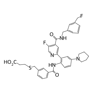 O=C(O)CCSCc1cccc(C(=O)Nc2ccc(N3CCCCC3)cc2-c2cc(C(=O)NCc3cccc(CF)c3)c(F)cn2)c1